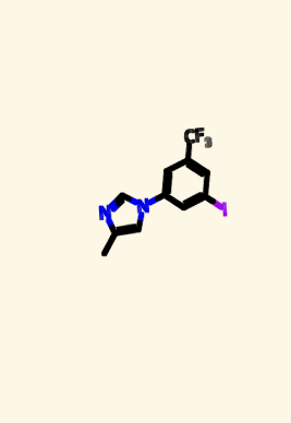 Cc1cn(-c2cc(I)cc(C(F)(F)F)c2)cn1